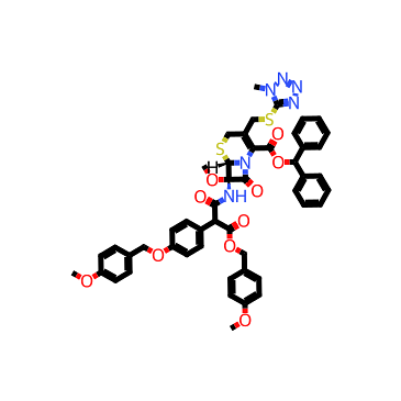 COc1ccc(COC(=O)C(C(=O)N[C@]2(OC)C(=O)N3C(C(=O)OC(c4ccccc4)c4ccccc4)=C(CSc4nnnn4C)CS[C@H]32)c2ccc(OCc3ccc(OC)cc3)cc2)cc1